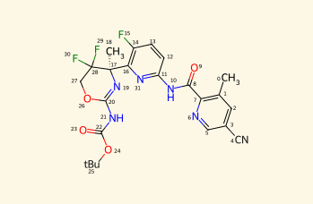 Cc1cc(C#N)cnc1C(=O)Nc1ccc(F)c([C@@]2(C)N=C(NC(=O)OC(C)(C)C)OCC2(F)F)n1